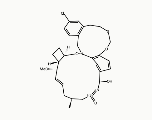 CO[C@H]1/C=C/C[C@H](C)C/[SH](=O)=N\C(O)c2ccc3c(c2)N(Cc2ccc(Cl)cc2CCSCO3)C[C@@H]2CC[C@H]21